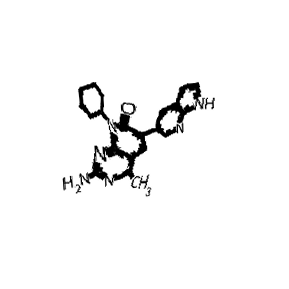 Cc1nc(N)nc2c1cc(-c1cnc3[nH]ccc3c1)c(=O)n2C1CCCCC1